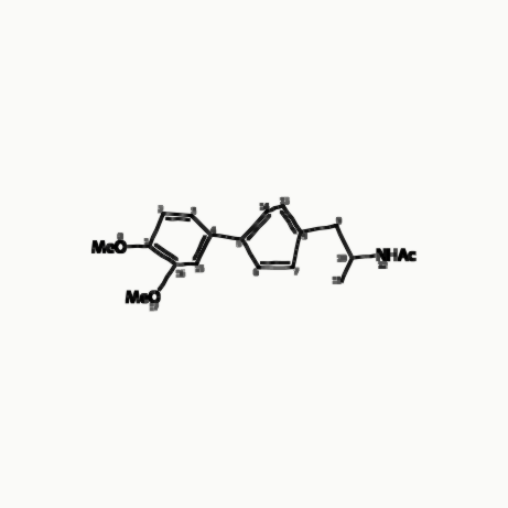 COc1ccc(-c2ccc(CC(C)NC(C)=O)cc2)cc1OC